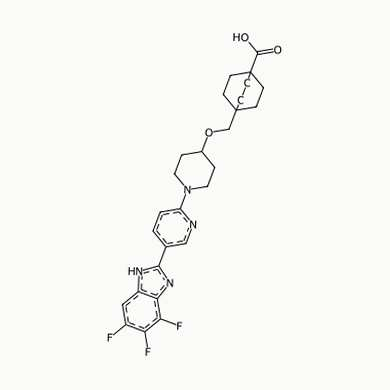 O=C(O)C12CCC(COC3CCN(c4ccc(-c5nc6c(F)c(F)c(F)cc6[nH]5)cn4)CC3)(CC1)CC2